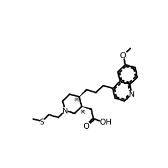 COc1ccc2nccc(CCC[C@@H]3CCN(CCSC)C[C@@H]3CC(=O)O)c2c1